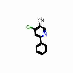 N#Cc1cnc(-c2ccccc2)cc1Cl